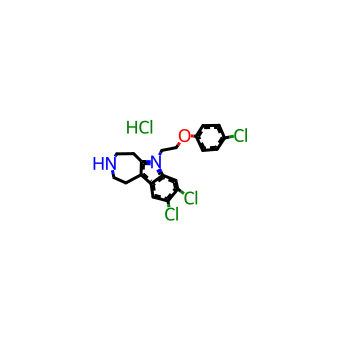 Cl.Clc1ccc(OCCn2c3c(c4cc(Cl)c(Cl)cc42)CCNCC3)cc1